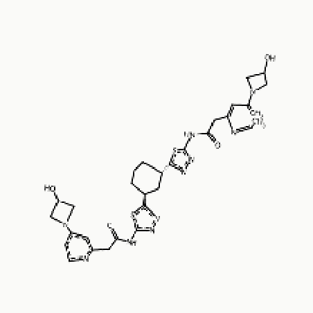 C=C(/C=C(CC(=O)Nc1nnc([C@H]2CCC[C@H](c3nnc(NC(=O)Cc4cc(N5CC(O)C5)ccn4)s3)C2)s1)\N=C/C)N1CC(O)C1